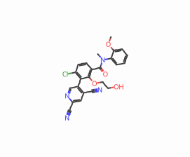 COc1ccccc1N(C)C(=O)c1ccc(Cl)c(-c2cnc(C#N)cc2C#N)c1OCCO